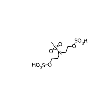 CS(=O)(=O)N(CCOS(=O)(=O)O)CCOS(=O)(=O)O